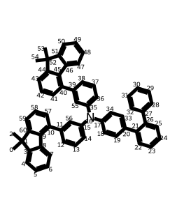 CC1(C)c2ccccc2-c2c(-c3cccc(N(c4ccc(-c5ccccc5-c5ccccc5)cc4)c4cccc(-c5cccc6c5-c5ccccc5C6(C)C)c4)c3)cccc21